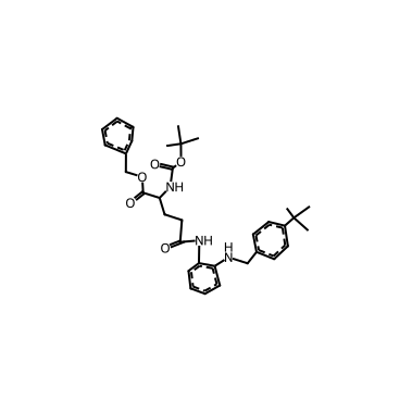 CC(C)(C)OC(=O)NC(CCC(=O)Nc1ccccc1NCc1ccc(C(C)(C)C)cc1)C(=O)OCc1ccccc1